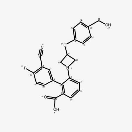 N#Cc1cc(-c2c(C(=O)O)cccc2N2CC(Oc3ccc(CO)cc3)C2)ccc1F